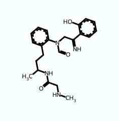 CNCC(=O)NC(C)CCc1ccccc1N(C=O)CC(=N)c1ccccc1O